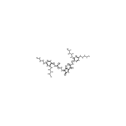 CCCCCc1ccc(OCC(=O)Nc2cc(=O)n(CCOC(=O)COc3ccc(CCCCC)cc3CCCCC)[nH]2)c(CCCCC)c1